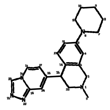 CN1Cc2cc(N3CCCCC3)ccc2C(c2ccn3cnnc3c2)C1